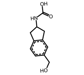 O=C(O)NC1Cc2ccc(CO)cc2C1